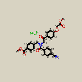 COC(=O)COc1ccc(C(=O)CN(Cc2ccc(C(=O)OC)cc2)C(=O)c2ccc(C#N)cc2)cc1.Cl